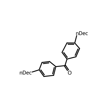 CCCCCCCCCCc1ccc(C(=O)c2ccc(CCCCCCCCCC)cc2)cc1